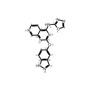 c1cc2c(Nc3nnco3)nc(Oc3ccc4[nH]ncc4c3)nc2cn1